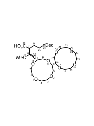 C1COCCOCCOCCO1.C1COCCOCCOCCO1.CCCCCCCCCCCCC(C(=O)O)C(=O)OC